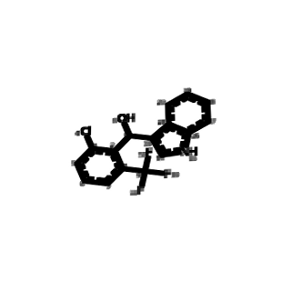 OC(c1c(Cl)cccc1C(F)(F)F)c1c[nH]c2ccccc12